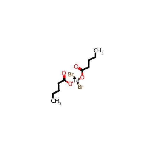 CCCCC(=O)O[Te](Br)(Br)OC(=O)CCCC